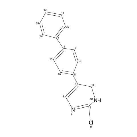 ClC1=NC=C(c2ccc(-c3ccccc3)cc2)CN1